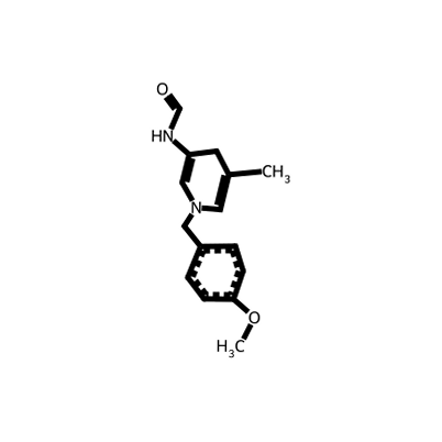 COc1ccc(CN2C=C(C)CC(NC=O)=C2)cc1